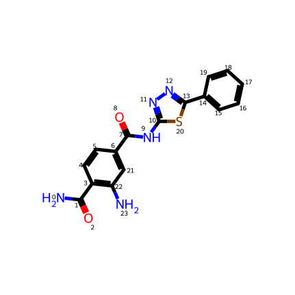 NC(=O)c1ccc(C(=O)Nc2nnc(-c3ccccc3)s2)cc1N